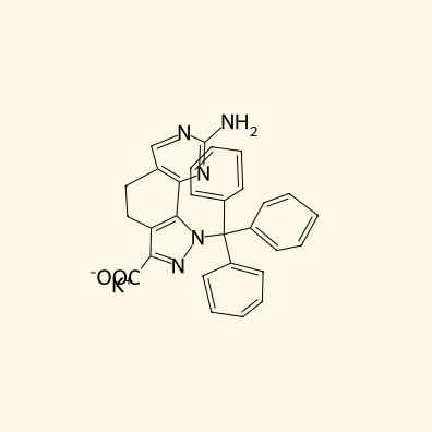 Nc1ncc2c(n1)-c1c(c(C(=O)[O-])nn1C(c1ccccc1)(c1ccccc1)c1ccccc1)CC2.[K+]